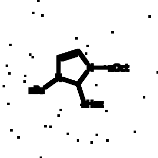 CCCCCCCCN1C=CN(CCCC)C1CCCCCC